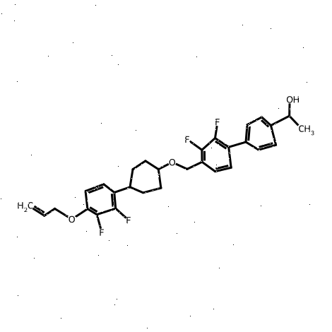 C=CCOc1ccc(C2CCC(OCc3ccc(-c4ccc(C(C)O)cc4)c(F)c3F)CC2)c(F)c1F